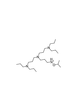 CCCN(CCC)CCCN(CCC[SiH2]OC(C)C)CCCN(CCC)CCC